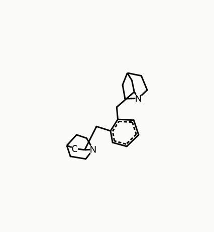 c1ccc(CC2CC3CCN2CC3)c(CC2CC3CCN2CC3)c1